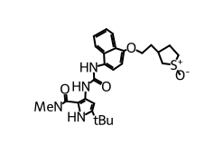 CNC(=O)c1[nH]c(C(C)(C)C)cc1NC(=O)Nc1ccc(OCCC2CC[S+]([O-])C2)c2ccccc12